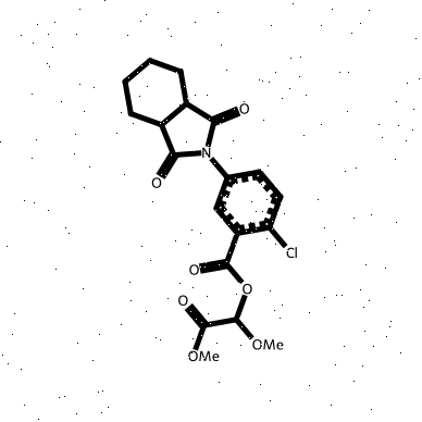 COC(=O)C(OC)OC(=O)c1cc(N2C(=O)C3CCCCC3C2=O)ccc1Cl